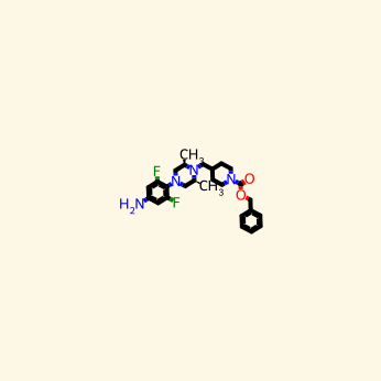 C[C@@H]1CN(c2c(F)cc(N)cc2F)C[C@@H](C)N1CC1CCN(C(=O)OCc2ccccc2)CC1